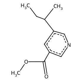 CCC(C)c1cncc(C(=O)OC)c1